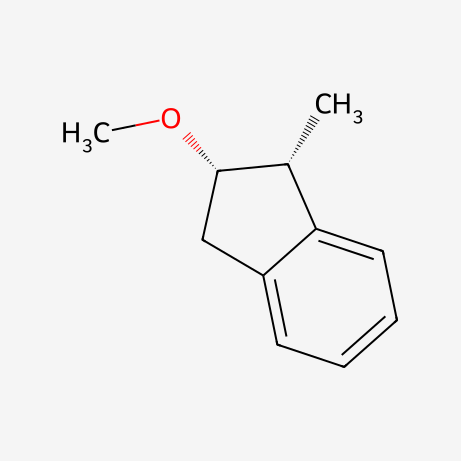 CO[C@H]1Cc2ccccc2[C@H]1C